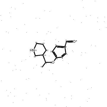 CC(Oc1ccc([C]=O)cc1)C1CCCNC1